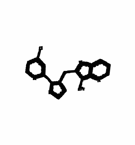 CCCn1c(Cn2ccnc2-c2cc(Cl)ccn2)nc2cccnc21